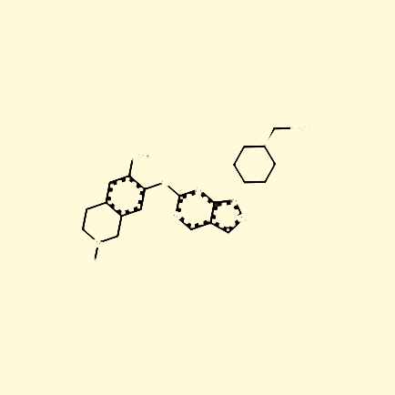 COC[C@H]1CC[C@H](n2ncc3cnc(Nc4cc5c(cc4OC)CCN(C)C5)nc32)CC1